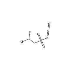 O=C=NS(=O)(=O)CC(Cl)Cl